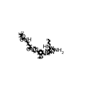 CCCCNc1nc(N)nc2cn(Cc3ccc(N4CCN(C(=O)CCCCNC(=O)OC(C)(C)C)CC4)cc3OC)nc12